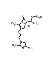 Cc1nc(N)cn1CCSC1=C(C(=O)O)N2C(=O)[C@H]([C@H](C)OS(=O)(=O)O)[C@H]2C1